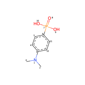 CN(C)c1ccc(P(=O)(O)O)cc1